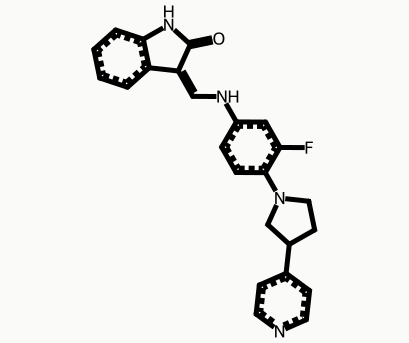 O=C1Nc2ccccc2C1=CNc1ccc(N2CCC(c3ccncc3)C2)c(F)c1